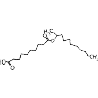 CCCCCCCCCC(C)OC(=O)CCCCCCCCC(=O)O